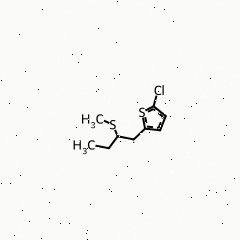 CCC([CH]c1ccc(Cl)s1)SC